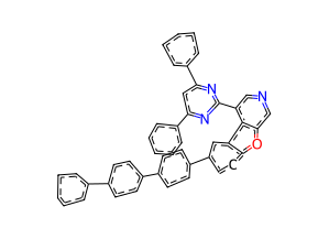 c1ccc(-c2ccc(-c3ccc(-c4ccc5oc6cncc(-c7nc(-c8ccccc8)cc(-c8ccccc8)n7)c6c5c4)cc3)cc2)cc1